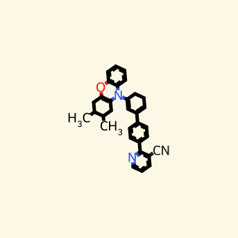 CC1CC2=C(CC1C)N(C1=CC(c3ccc(-c4ncccc4C#N)cc3)=CCC1)c1ccccc1O2